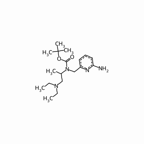 CCN(CC)CC(C)N(Cc1cccc(N)n1)C(=O)OC(C)(C)C